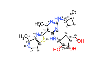 CC[C@@H]1CC[C@H]1Nc1nc(C)c(-c2nc3c(C)nccc3s2)c(N[C@@H]2C[C@H](CO)[C@@H](O)[C@H]2O)n1